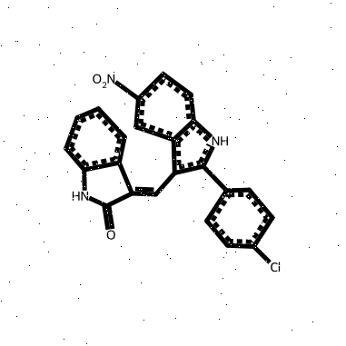 O=C1Nc2ccccc2C1=Cc1c(-c2ccc(Cl)cc2)[nH]c2ccc([N+](=O)[O-])cc12